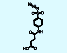 [N-]=[N+]=NS(=O)(=O)c1ccc(NC(=O)CCC(=O)O)cc1